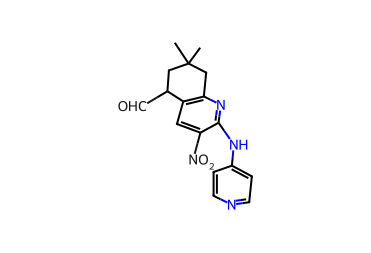 CC1(C)Cc2nc(Nc3ccncc3)c([N+](=O)[O-])cc2C(C=O)C1